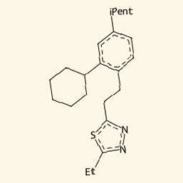 CCCC(C)c1ccc(CCc2nnc(CC)s2)c(C2CCCCC2)c1